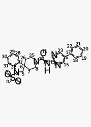 CS(=O)(=O)N1CC2(CCN(C(=O)Nc3ncc(-c4ccccc4)cn3)CC2)c2ccccc21